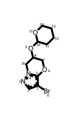 Brc1cnn2c1OCC(OC1CCCCO1)C2